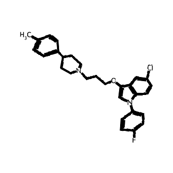 Cc1ccc(C2CCN(CCCOc3cn(-c4ccc(F)cc4)c4ccc(Cl)cc34)CC2)cc1